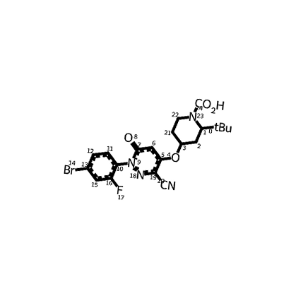 CC(C)(C)C1CC(Oc2cc(=O)n(-c3ccc(Br)cc3F)nc2C#N)CCN1C(=O)O